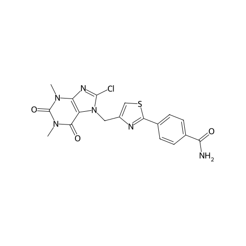 Cn1c(=O)c2c(nc(Cl)n2Cc2csc(-c3ccc(C(N)=O)cc3)n2)n(C)c1=O